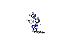 C=C1C[C@@H](c2nc3ccc(OC)cc3[nH]2)N(c2cc(C)n[c]c2-n2cccn2)C1